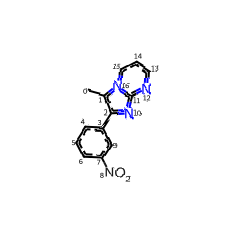 Cc1c(-c2cccc([N+](=O)[O-])c2)nc2ncccn12